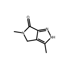 Cc1[nH]nc2c1CN(C)C2=O